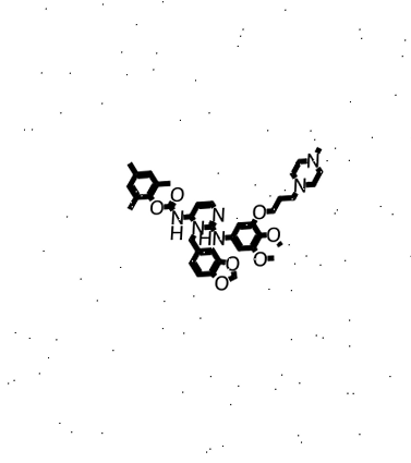 COc1cc(NC2=NC=CC(NC(=O)Oc3c(C)cc(C)cc3C)N2Cc2ccc3c(c2)OCO3)cc(OCCCN2CCN(C)CC2)c1OC